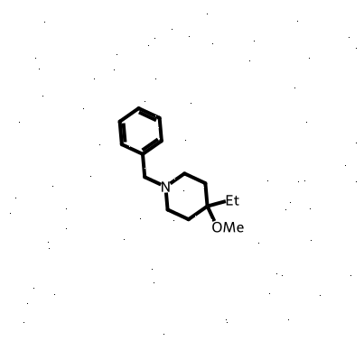 CCC1(OC)CCN(Cc2ccccc2)CC1